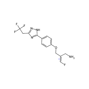 NC/C(=C\F)COc1ccc(-c2nc(CC(F)(F)F)n[nH]2)cc1